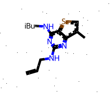 C=CCNc1nc(NC(C)CC)c2scc(C)c2n1